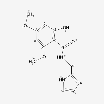 COc1cc(O)c(C(=O)NCc2ccc[nH]2)c(OC)c1